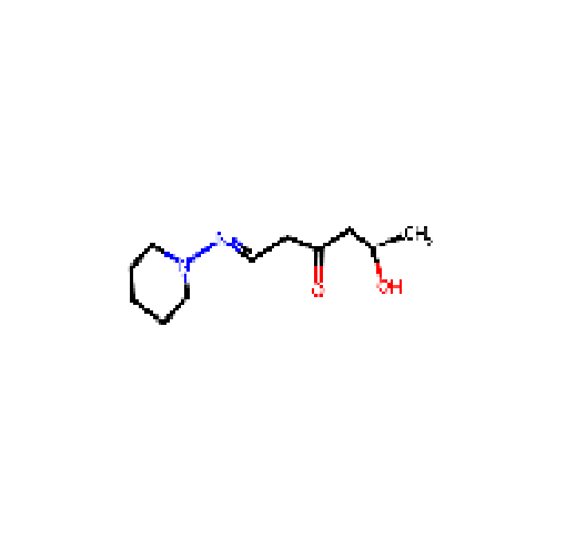 C[C@@H](O)CC(=O)C/C=N/N1CCCCC1